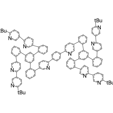 CC(C)(C)c1ccc(-c2ccc(-c3ccccc3-c3cc(-c4ccccc4-c4ccc(-c5ccc(-c6ccc(-c7ccccc7-c7cc(-c8ccccc8-c8ccc(-c9ccc(C(C)(C)C)nc9)nc8)cc(-c8ccccc8-c8ccc(-c9ccc(C(C)(C)C)nc9)nc8)c7)cn6)cc5)nc4)cc(-c4ccccc4-c4ccc(-c5ccc(C(C)(C)C)nc5)nc4)c3)cn2)cn1